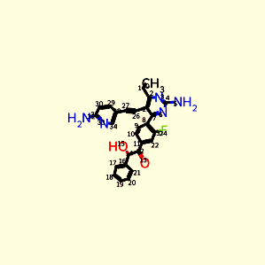 CCc1nc(N)nc(-c2ccc(C(=O)C(O)c3ccccc3)cc2F)c1C#Cc1ccc(N)nc1